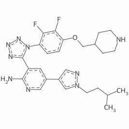 CC(C)CCn1cc(-c2cnc(N)c(-c3nnnn3-c3ccc(OCC4CCNCC4)c(F)c3F)c2)cn1